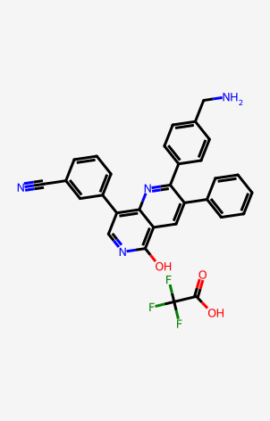 N#Cc1cccc(-c2cnc(O)c3cc(-c4ccccc4)c(-c4ccc(CN)cc4)nc23)c1.O=C(O)C(F)(F)F